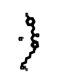 CCCCCCCn1cc[n+](CC(=O)CCc2ccc(F)cc2)c1.[Cl-]